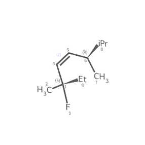 CC[C@](C)(F)/C=C\[C@H](C)C(C)C